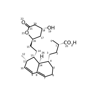 C[C@@H](CC[C@@H]1CCC=C2C=C[C@H](C)[C@H](CC[C@@H]3C[C@@H](O)CC(=O)O3)[C@H]21)C(=O)O